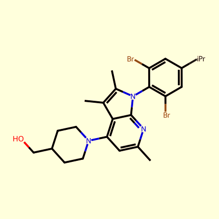 Cc1cc(N2CCC(CO)CC2)c2c(C)c(C)n(-c3c(Br)cc(C(C)C)cc3Br)c2n1